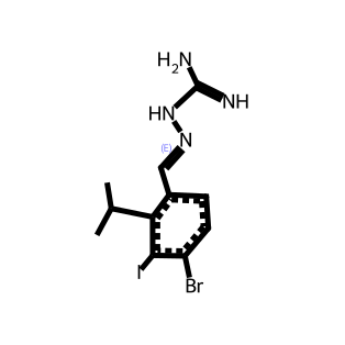 CC(C)c1c(/C=N/NC(=N)N)ccc(Br)c1I